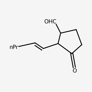 CCCC=CC1C(=O)CCC1C=O